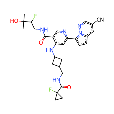 CC(C)(O)C(F)CNC(=O)c1cnc(-c2ccc3cc(C#N)cnn23)cc1NC1CC(CNC(=O)C2(F)CC2)C1